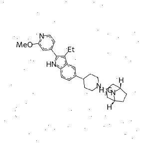 CCc1c(-c2ccnc(OC)c2)[nH]c2ccc(C3CCN([C@H]4C[C@H]5CC[C@@H](C4)N5C)CC3)cc12